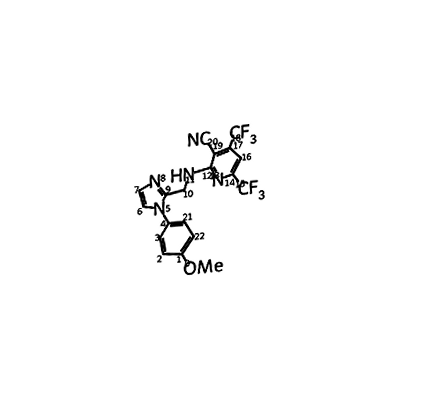 COc1ccc(-n2ccnc2CNc2nc(C(F)(F)F)cc(C(F)(F)F)c2C#N)cc1